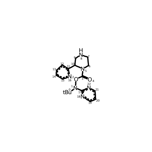 CC(C)(C)N(OC(=O)N1CCNCC1c1ccccn1)c1ncccn1